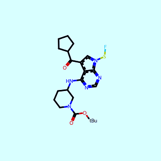 CC(C)(C)OC(=O)N1CCCC(Nc2ncnc3c2c(C(=O)C2CCCC2)cn3SF)C1